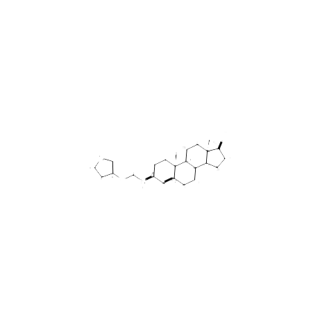 C[C@]12CC/C(=N\COC3CCNC3)C=C1CCC1C2CC[C@]2(C)C(=O)CCC12